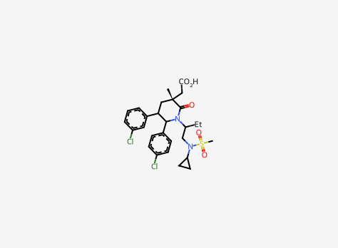 CCC(CN(C1CC1)S(C)(=O)=O)N1C(=O)[C@@](C)(CC(=O)O)CC(c2cccc(Cl)c2)C1c1ccc(Cl)cc1